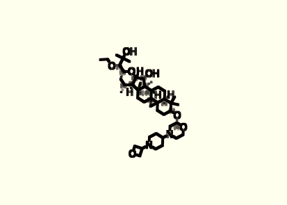 CCO[C@@H]([C@H]1C[C@@H](C)[C@H]2[C@H](O1)[C@H](O)[C@@]1(C)[C@@H]3CC[C@H]4C(C)(C)[C@@H](O[C@H]5CN(C6CCN(C7COC7)CC6)CCO5)CCC45C[C@@]35CC[C@]21C)C(C)(C)O